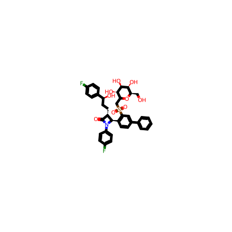 O=C1[C@H](CC[C@H](O)c2ccc(F)cc2)[C@@H](c2ccc(-c3ccccc3)cc2S(=O)(=O)CC2O[C@H](CO)[C@@H](O)[C@H](O)[C@H]2O)N1c1ccc(F)cc1